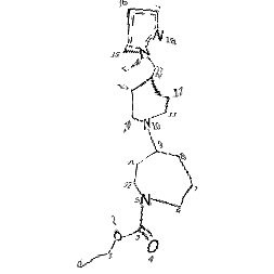 CCOC(=O)N1CCCC(N2CCC(n3cccn3)CC2)CC1